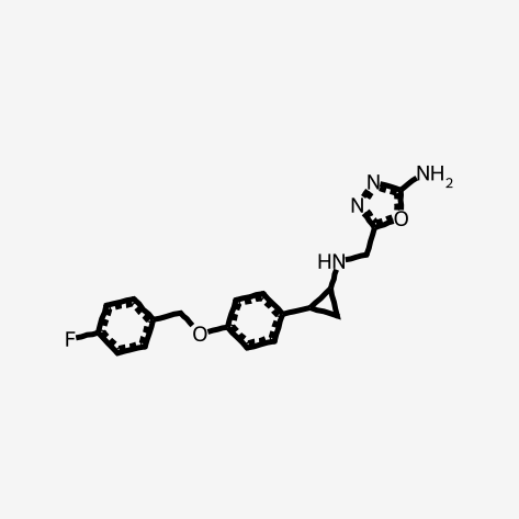 Nc1nnc(CNC2CC2c2ccc(OCc3ccc(F)cc3)cc2)o1